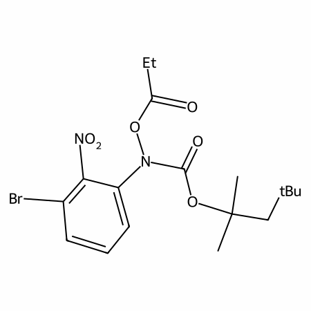 CCC(=O)ON(C(=O)OC(C)(C)CC(C)(C)C)c1cccc(Br)c1[N+](=O)[O-]